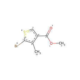 COC(=O)c1csc(Br)c1C